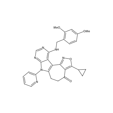 COc1ccc(CNc2ncnc3c2c2c(n3-c3ccccn3)CCC(=O)c3c-2noc3C2CC2)c(OC)c1